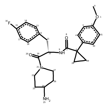 COc1ccc(C2(C(=O)N[C@@H](Cc3ccc(F)cc3)C(=O)N3CCC(N)CC3)CC2)cc1